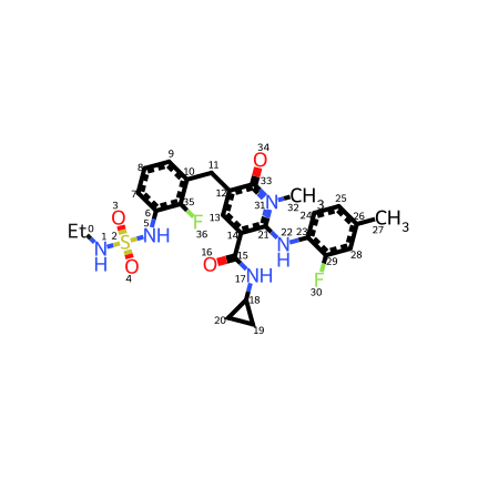 CCNS(=O)(=O)Nc1cccc(Cc2cc(C(=O)NC3CC3)c(Nc3ccc(C)cc3F)n(C)c2=O)c1F